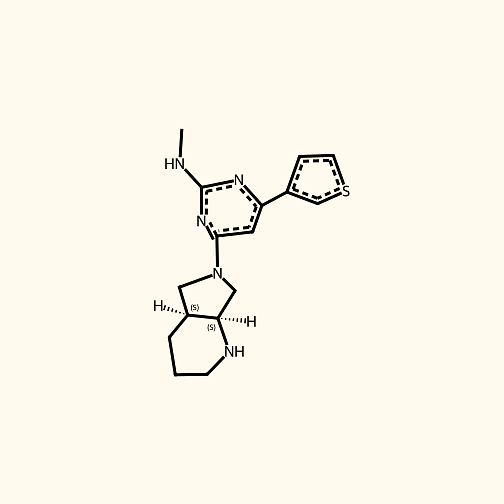 CNc1nc(-c2ccsc2)cc(N2C[C@@H]3CCCN[C@@H]3C2)n1